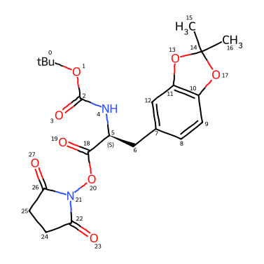 CC(C)(C)OC(=O)N[C@@H](Cc1ccc2c(c1)OC(C)(C)O2)C(=O)ON1C(=O)CCC1=O